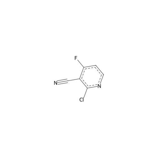 N#Cc1c(F)ccnc1Cl